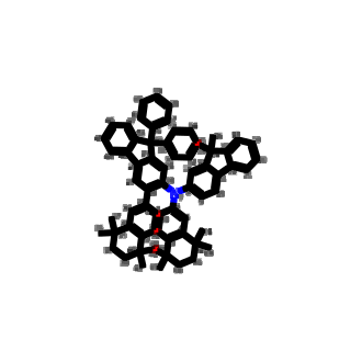 Cc1cc2c(cc1N(c1ccc3c(c1)C(C)(C)c1ccccc1-3)c1cc3c(cc1-c1ccc4c(c1)C(C)(C)CCC4(C)C)-c1ccccc1C3(c1ccccc1)c1ccccc1)C(C)(C)CCC2(C)C